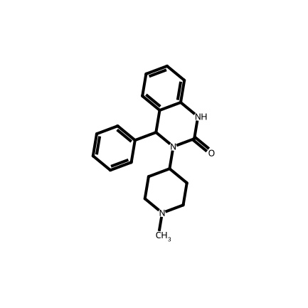 CN1CCC(N2C(=O)Nc3ccccc3C2c2ccccc2)CC1